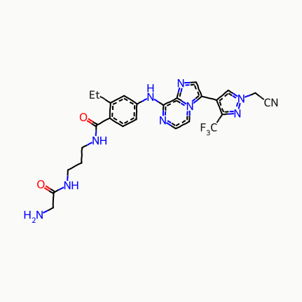 CCc1cc(Nc2nccn3c(-c4cn(CC#N)nc4C(F)(F)F)cnc23)ccc1C(=O)NCCCNC(=O)CN